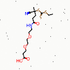 CCSC(=S)SC(C)(C#N)CCC(=O)NCCOCCOCCC(=O)O